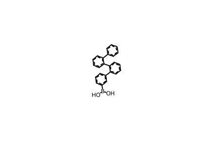 OB(O)c1cccc(-c2ccccc2-c2ccccc2-c2ccccc2)c1